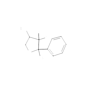 SC1CSC(S)(c2ccccc2)C1(S)S